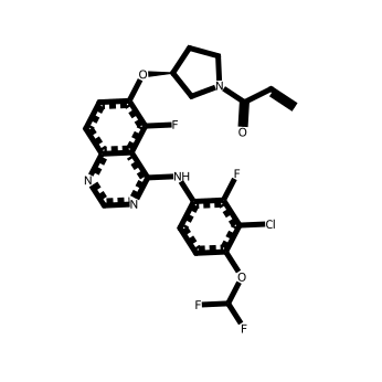 C=CC(=O)N1CC[C@H](Oc2ccc3ncnc(Nc4ccc(OC(F)F)c(Cl)c4F)c3c2F)C1